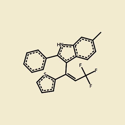 Cc1ccc2c(/C(=C\C(F)(F)F)c3cccs3)c(-c3ccccc3)[nH]c2c1